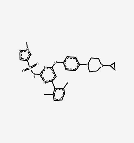 Cc1cccc(C)c1-c1cc(Oc2ccc(N3CCN(C4CC4)CC3)cc2)nc(NS(=O)(=O)c2cnn(C)c2)n1